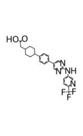 O=C(O)CC1CCC(c2ccc(-c3cnc(Nc4ccc(C(F)(F)F)nc4)nc3)cc2)CC1